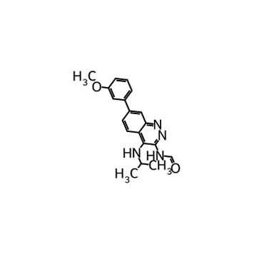 COc1cccc(-c2ccc3c(NC(C)C)c(NC=O)nnc3c2)c1